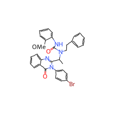 COc1ccccc1NC(=O)N(CCc1ccccc1)C(C)c1nc2ccccc2c(=O)n1-c1ccc(Br)cc1